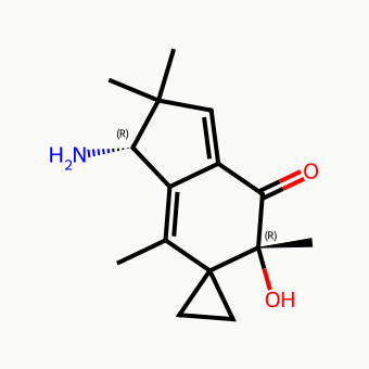 CC1=C2C(=CC(C)(C)[C@H]2N)C(=O)[C@](C)(O)C12CC2